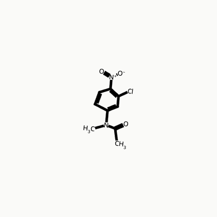 CC(=O)N(C)c1ccc([N+](=O)[O-])c(Cl)c1